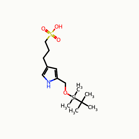 CC(C)(C)[Si](C)(C)OCc1cc(CCCS(=O)(=O)O)c[nH]1